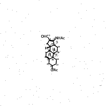 CC(=O)NC1=C(C=O)C[C@H]2[C@@H]3CC=C4CC(OC(C)=O)CC[C@]4(C)[C@@H]3CC[C@]12C